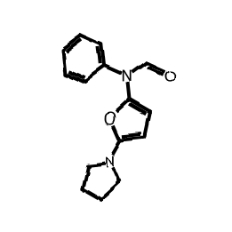 O=CN(c1ccccc1)c1ccc(N2CCCC2)o1